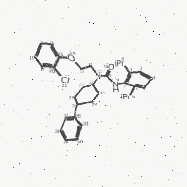 CC(C)c1cccc(C(C)C)c1NC(=O)N(CCOc1ccccc1Cl)C1CCC(c2ccccc2)CC1